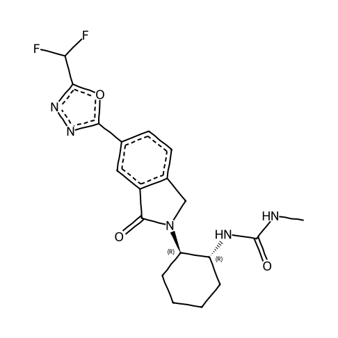 CNC(=O)N[C@@H]1CCCC[C@H]1N1Cc2ccc(-c3nnc(C(F)F)o3)cc2C1=O